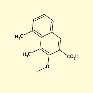 Cc1cccc2cc(C(=O)O)c(OI)c(C)c12